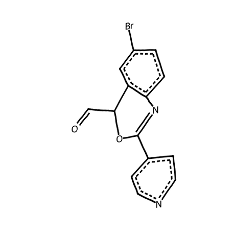 O=CC1OC(c2ccncc2)=Nc2ccc(Br)cc21